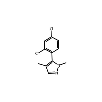 Cc1cnn(C)c1-c1ccc(Cl)cc1Cl